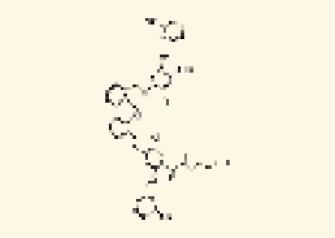 N#Cc1cncc(COc2cc(OCc3cccc(-c4cccc(COc5cc(OCc6cncc(C#N)c6)c(C(=O)NCCCO)cc5Cl)c4Cl)c3Cl)c(Cl)cc2C=O)c1